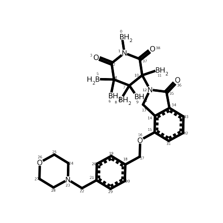 BN1C(=O)C(B)(B)C(B)(B)C(B)(N2Cc3c(OCc4ccc(CN5CCOCC5)cc4)cccc3C2=O)C1=O